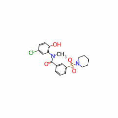 CN(C(=O)c1cccc(S(=O)(=O)N2CCCCC2)c1)c1cc(Cl)ccc1O